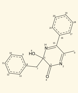 CC1=NC(=O)C(O)(Cc2ccccc2)N=C1c1ccccc1